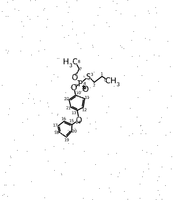 CCCSP(=O)(OCC)Oc1ccc(Oc2ccccc2)cc1